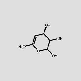 CC1=C[C@@H](O)C(O)C(O)O1